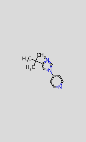 CC(C)(C)c1cn(-c2ccncc2)cn1